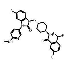 CNc1ccc(-n2c(=O)n(C[C@H]3CC[C@H](NC(=O)c4cc(Cl)cnc4C(F)F)CC3)c3ccc(F)cc32)cn1